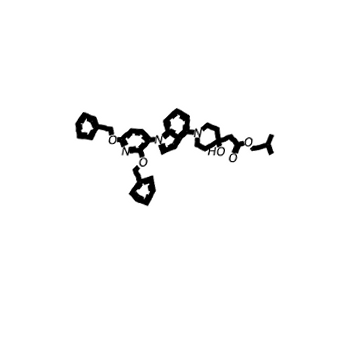 CC(C)COC(=O)CC1(O)CCN(c2cccc3c2ccn3-c2ccc(OCc3ccccc3)nc2OCc2ccccc2)CC1